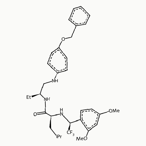 CC[C@@H](CNc1ccc(OCc2ccccc2)cc1)NC(=O)[C@H](CC(C)C)N[C@@H](c1ccc(OC)cc1OC)C(F)(F)F